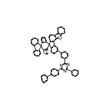 c1ccc(-c2ccc(-c3nc(-c4ccccc4)nc(-c4cccc(-c5ccc6c(c5)-c5c(ccc7c5oc5ccccc57)C65c6ccccc6C6(c7ccccc7-c7ccccc76)c6ccccc65)c4)n3)cc2)cc1